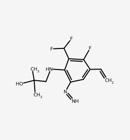 C=Cc1cc(N=N)c(NCC(C)(C)O)c(C(F)F)c1F